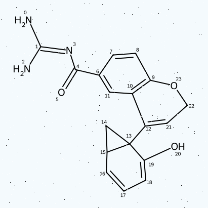 NC(N)=NC(=O)c1ccc2c(c1)C(C13CC1C=CC=C3O)=CCO2